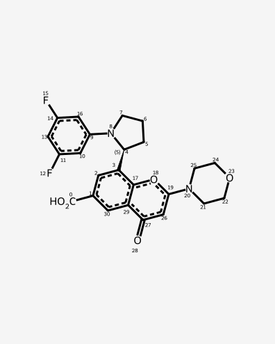 O=C(O)c1cc([C@@H]2CCCN2c2cc(F)cc(F)c2)c2oc(N3CCOCC3)cc(=O)c2c1